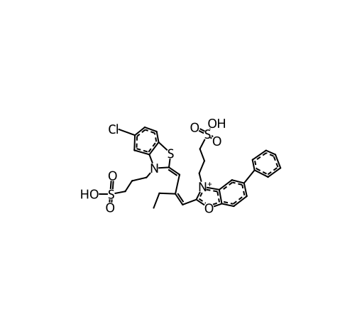 CCC(=Cc1oc2ccc(-c3ccccc3)cc2[n+]1CCCS(=O)(=O)O)C=C1Sc2ccc(Cl)cc2N1CCCS(=O)(=O)O